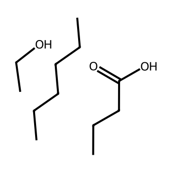 CCCC(=O)O.CCCCCC.CCO